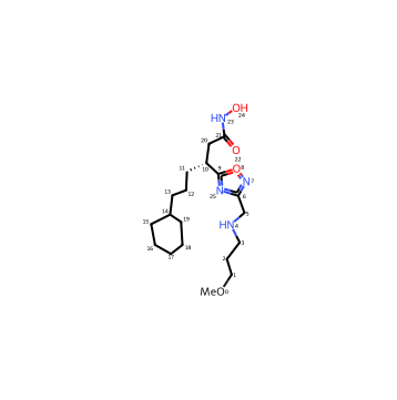 COCCCNCc1noc([C@H](CCCC2CCCCC2)CC(=O)NO)n1